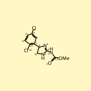 COC(=O)NC1=NC(c2cc(Cl)ccc2Cl)CN1